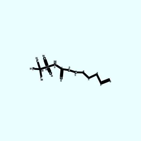 C=CCCCCCC(=O)NS(=O)(=O)C(F)(F)F